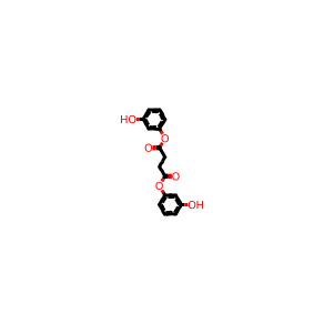 O=C(CCC(=O)Oc1cccc(O)c1)Oc1cccc(O)c1